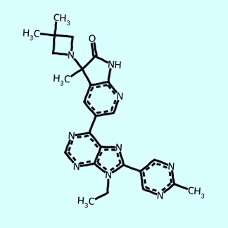 CCn1c(-c2cnc(C)nc2)nc2c(-c3cnc4c(c3)C(C)(N3CC(C)(C)C3)C(=O)N4)ncnc21